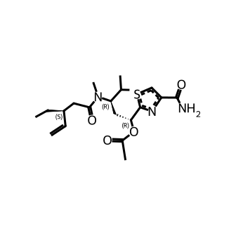 C=C[C@@H](CC)CC(=O)N(C)[C@H](C[C@@H](OC(C)=O)c1nc(C(N)=O)cs1)C(C)C